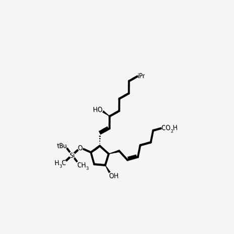 CC(C)CCCC[C@H](O)/C=C/[C@H]1C(O[Si](C)(C)C(C)(C)C)C[C@H](O)[C@@H]1C/C=C\CCCC(=O)O